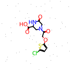 O=C1CN(C(=O)COc2ccc(Cl)s2)CC(C(=O)O)N1